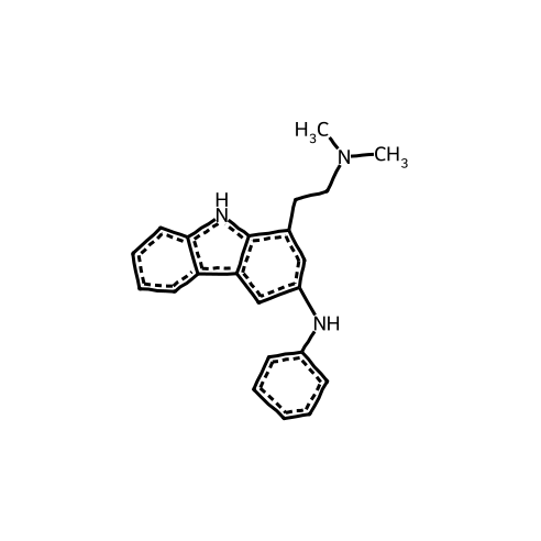 CN(C)CCc1cc(Nc2ccccc2)cc2c1[nH]c1ccccc12